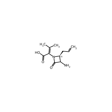 C=CC[C@H]1C(N)C(=O)N1C(C(=O)O)=C(C)C